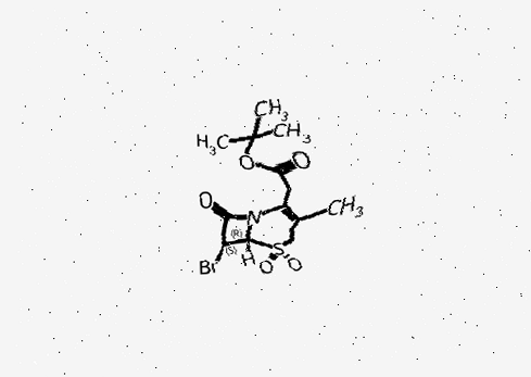 CC1=C(C(=O)OC(C)(C)C)N2C(=O)[C@H](Br)[C@H]2S(=O)(=O)C1